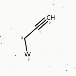 C#C[CH2][W]